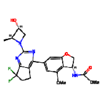 COC(=O)N[C@H]1COc2cc(-c3nc(N4C[C@@H](O)[C@@H]4C)nc4c3CCC4(F)F)cc(OC)c21